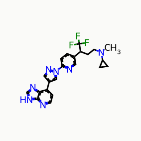 CN(CCC(c1ccc(-n2cc(-c3ccnc4[nH]cnc34)cn2)nc1)C(F)(F)F)C1CC1